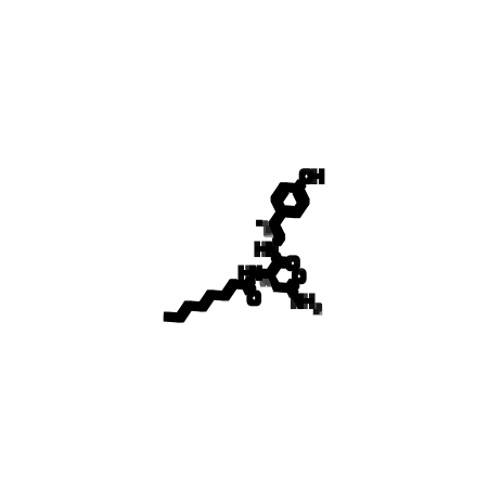 CCCCCCCC(=O)N[C@H](CC(N)=O)C(=O)NC[C@H](C)c1ccc(O)cc1